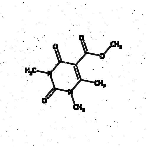 COC(=O)c1c(C)n(C)c(=O)n(C)c1=O